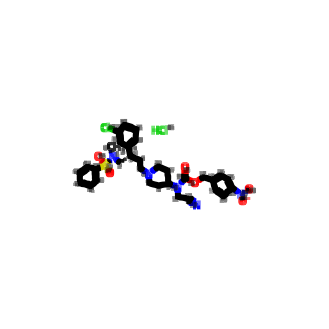 CN(C[C@@H](CCN1CCC(N(CC#N)C(=O)OCc2ccc([N+](=O)[O-])cc2)CC1)c1cccc(Cl)c1)S(=O)(=O)c1ccccc1.Cl